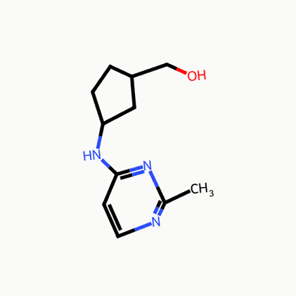 Cc1nccc(NC2CCC(CO)C2)n1